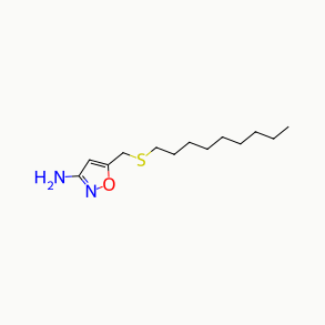 CCCCCCCCCSCc1cc(N)no1